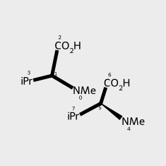 CNC(C(=O)O)C(C)C.CN[C@H](C(=O)O)C(C)C